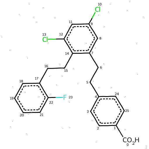 O=C(O)c1ccc(CCc2cc(Cl)cc(Cl)c2CCc2ccccc2F)cc1